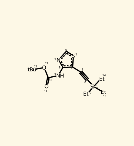 CC[Si](C#Cc1scnc1NC(=O)OC(C)(C)C)(CC)CC